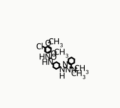 COc1cc(OC)c(NC(=O)N[C@H]2CC[C@@H](Nc3nc4c(c(N(C)C)n3)CCCC4)CC2)cc1Cl